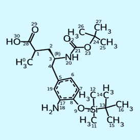 CC(C[C@H](Cc1ccc(O[Si](C)(C)C(C)(C)C)c(N)c1)NC(=O)OC(C)(C)C)C(=O)O